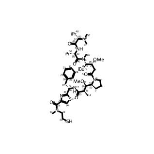 CC[C@H](C)[C@@H]([C@@H](CC(=O)N1CCC[C@H]1[C@H](OC)[C@@H](C)C(=O)N[C@@H](Cc1ccccc1)c1nc(C(=O)N(C)CCS)cs1)OC)N(C)C(=O)[C@@H](NC(=O)[C@H](C(C)C)N(C)C)C(C)C